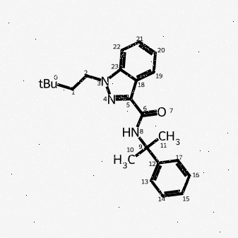 CC(C)(C)CCn1nc(C(=O)NC(C)(C)c2ccccc2)c2ccccc21